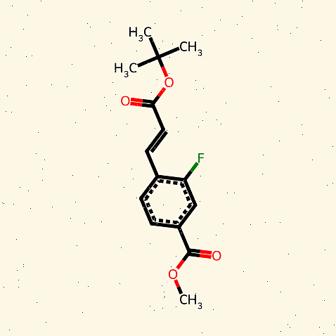 COC(=O)c1ccc(/C=C/C(=O)OC(C)(C)C)c(F)c1